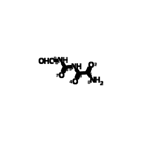 NC(=O)C(=O)NC(=O)NC=O